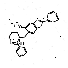 COc1cc2nc(-c3ccccc3)sc2cc1CC12CCCN(CN1)C2c1ccccc1